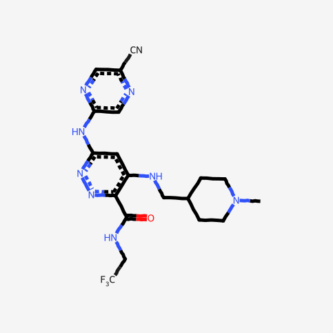 CN1CCC(CNc2cc(Nc3cnc(C#N)cn3)nnc2C(=O)NCC(F)(F)F)CC1